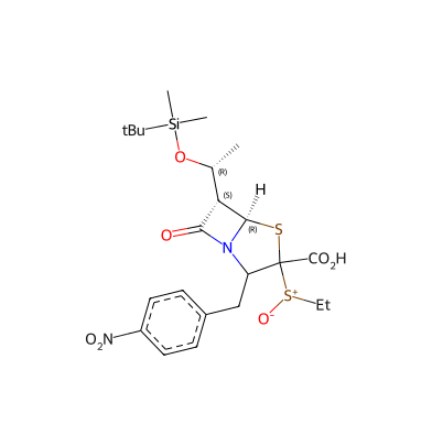 CC[S+]([O-])C1(C(=O)O)S[C@@H]2[C@@H]([C@@H](C)O[Si](C)(C)C(C)(C)C)C(=O)N2C1Cc1ccc([N+](=O)[O-])cc1